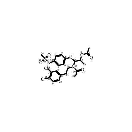 CC(=O)OC(C)C(Oc1ccc(NS(C)(=O)=O)cc1)N(CCc1ccc(Cl)c(Cl)c1)C(C)=O